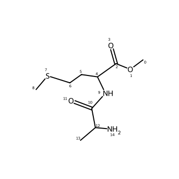 COC(=O)C(CCSC)NC(=O)C(C)N